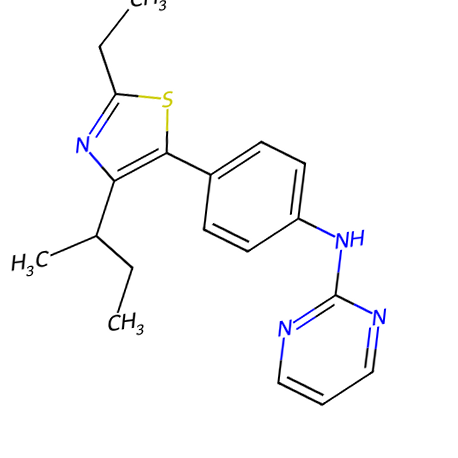 CCc1nc(C(C)CC)c(-c2ccc(Nc3ncccn3)cc2)s1